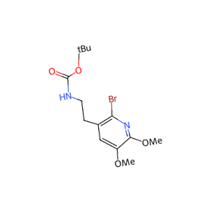 COc1cc(CCNC(=O)OC(C)(C)C)c(Br)nc1OC